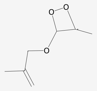 C=C(C)COC1OO[C]1C